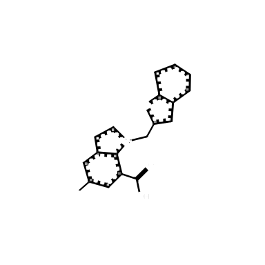 O=C(O)c1cc(F)cc2ccn(Cc3cc4ccccc4o3)c12